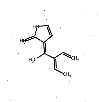 C=CC(=C\C)/C(C)=C1\C=CNC1=N